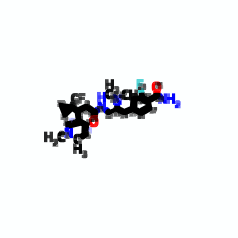 C=N/C=C(\C=C/C)C(CC(=O)NC[C@H](Cc1ccc(C(N)=O)c(F)c1)N(C)C)C1(C(F)(F)F)CC1